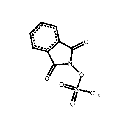 O=C1c2ccccc2C(=O)N1OS(=O)(=O)C(F)(F)F